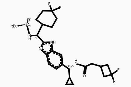 CC(C)(C)[S@@+]([O-])N[C@H](c1nc2ccc([C@H](NC(=O)CC3CC(F)(F)C3)C3CC3)cc2[nH]1)C1CCC(F)(F)CC1